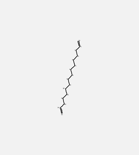 [CH]=CCCCCCCCCCCCCC=C